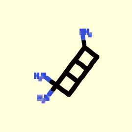 NC1CC2C3CC(N)(N)C3C12